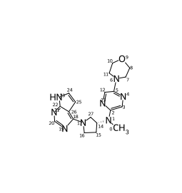 CN(c1cnc(N2CCOCC2)cn1)[C@@H]1CCN(c2ncnc3[nH]ccc23)C1